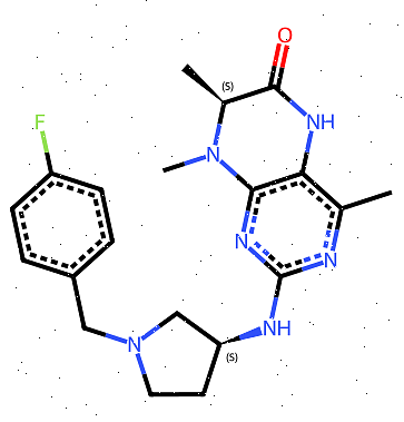 Cc1nc(N[C@H]2CCN(Cc3ccc(F)cc3)C2)nc2c1NC(=O)[C@H](C)N2C